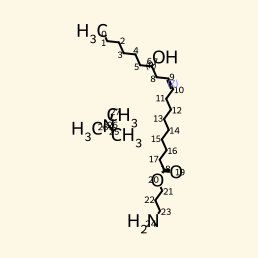 CCCCCC[C@@H](O)C/C=C\CCCCCCCC(=O)OCCCN.CN(C)C